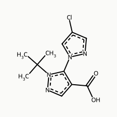 CC(C)(C)n1ncc(C(=O)O)c1-n1cc(Cl)cn1